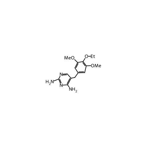 COc1cc(Cc2cnc(N)nc2N)cc(OC)c1OC[11CH3]